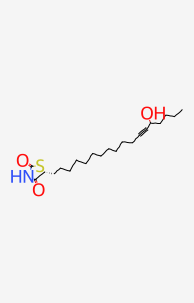 CCCCC(O)C#CCCCCCCCCCCC[C@H]1SC(=O)NC1=O